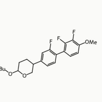 CCCCOC1CCC(c2ccc(-c3ccc(OC)c(F)c3F)c(F)c2)CO1